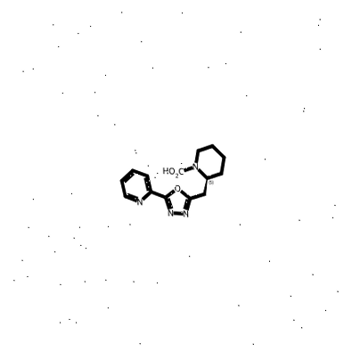 O=C(O)N1CCCC[C@H]1Cc1nnc(-c2ccccn2)o1